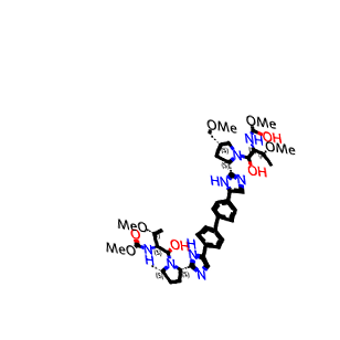 COC[C@H]1C[C@@H](c2ncc(-c3ccc(-c4ccc(-c5cnc([C@@H]6CC[C@H](C)N6C(O)[C@@H](NC(=O)OC)[C@@H](C)OC)[nH]5)cc4)cc3)[nH]2)N(C(O)[C@@H](NC(O)OC)[C@@H](C)OC)C1